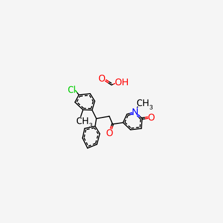 Cc1cc(Cl)ccc1C(CC(=O)c1ccc(=O)n(C)c1)c1ccccc1.O=CO